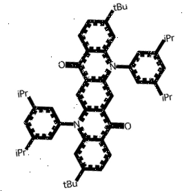 CC(C)c1cc(C(C)C)cc(-n2c3cc(C(C)(C)C)ccc3c(=O)c3cc4c(cc32)c(=O)c2ccc(C(C)(C)C)cc2n4-c2cc(C(C)C)cc(C(C)C)c2)c1